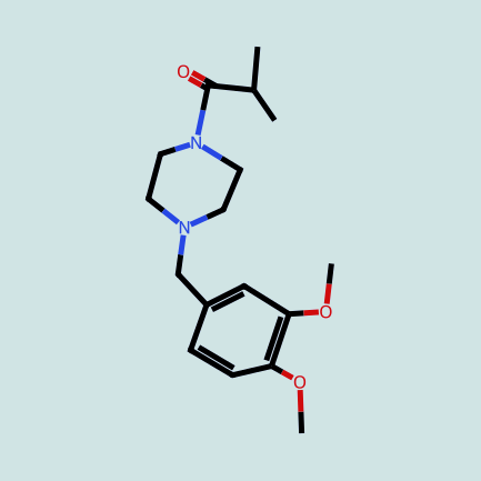 COc1ccc(CN2CCN(C(=O)C(C)C)CC2)cc1OC